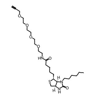 C#CCOCCOCCOCCOCCNC(=O)CCCC[C@@H]1SC[C@@H]2NC(=O)N(CCCCCC)[C@@H]21